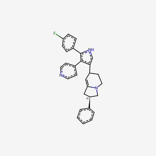 Fc1ccc(-c2[nH]cc(C3C=C4C[C@H](c5ccccc5)CN4CC3)c2-c2ccncc2)cc1